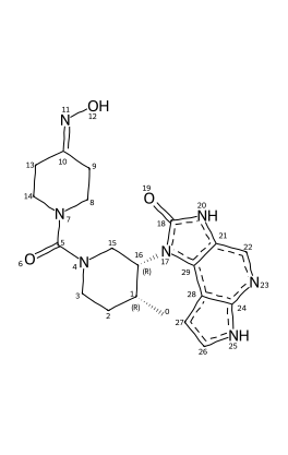 C[C@@H]1CCN(C(=O)N2CCC(=NO)CC2)C[C@@H]1n1c(=O)[nH]c2cnc3[nH]ccc3c21